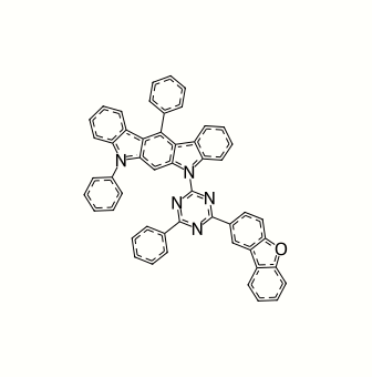 c1ccc(-c2nc(-c3ccc4oc5ccccc5c4c3)nc(-n3c4ccccc4c4c(-c5ccccc5)c5c6ccccc6n(-c6ccccc6)c5cc43)n2)cc1